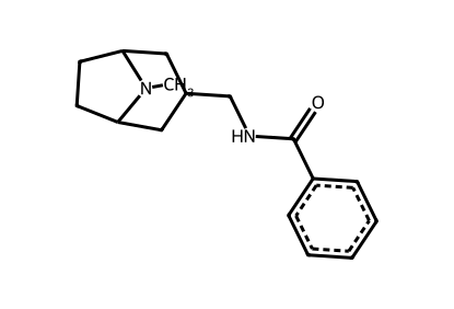 CN1C2CCC1CC(CNC(=O)c1ccccc1)C2